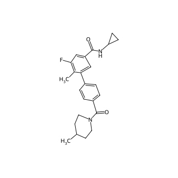 Cc1c(F)cc(C(=O)NC2CC2)cc1-c1ccc(C(=O)N2CCC(C)CC2)cc1